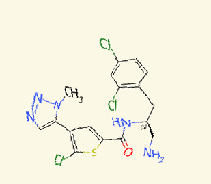 Cn1nncc1-c1cc(C(=O)N[C@H](CN)Cc2ccc(Cl)cc2Cl)sc1Cl